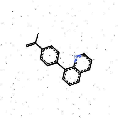 C=C(C)c1ccc(-c2cccc3cccnc23)cc1